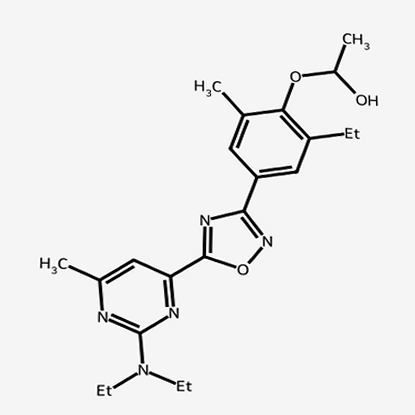 CCc1cc(-c2noc(-c3cc(C)nc(N(CC)CC)n3)n2)cc(C)c1OC(C)O